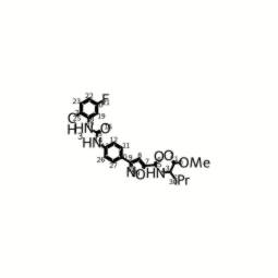 COC(=O)C(NC(=O)c1cc(-c2ccc(NC(=O)Nc3cc(F)ccc3C)cc2)no1)C(C)C